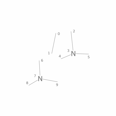 CC.CN(C)C.CN(C)C